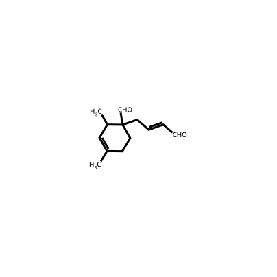 CC1=CC(C)C(C=O)(CC=CC=O)CC1